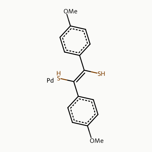 COc1ccc(C(S)=C(S)c2ccc(OC)cc2)cc1.[Pd]